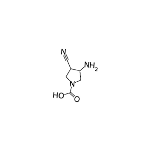 N#CC1CN(C(=O)O)CC1N